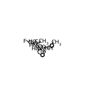 CC[C@H](C)[C@H](NC(=O)COCCF)C(=O)N[C@H]1CCc2cccc3c2N(C1=O)[C@H](C(=O)NCc1cccc(C)c1)C3